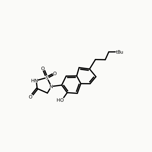 CC(C)(C)CCCc1ccc2cc(O)c(N3CC(=O)NS3(=O)=O)cc2c1